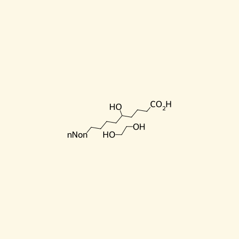 CCCCCCCCCCCCCC(O)CCCC(=O)O.OCCO